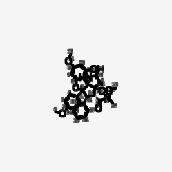 COc1ccc([C@@]23Oc4cc(OC)cc(O)c4[C@@]24NC(C)=N[C@@]4(O)[C@H](C(=O)N(C)OC)[C@H]3c2ccccc2)cc1